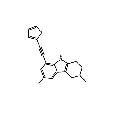 Cc1cc(C#Cc2cccs2)c2[nH]c3c(c2c1)CN(C)CC3